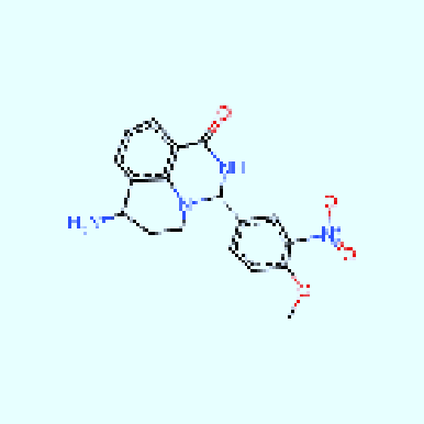 COc1ccc([C@H]2NC(=O)c3cccc4c3N2CC[C@H]4N)cc1[N+](=O)[O-]